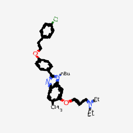 CCCCn1c(-c2ccc(OCCc3ccc(Cl)cc3)cc2)nc2cc(C)c(OCCCN(CC)CC)cc21